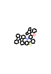 c1ccc2c(c1)Oc1ccc(N(c3cccc4c3-c3ccccc3C43c4ccccc4-c4ccccc43)c3cccc4sc5ccccc5c34)cc1C21c2ccccc2-c2ccccc21